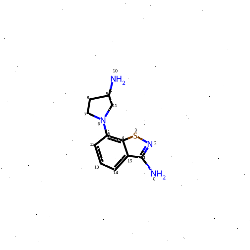 Nc1nsc2c(N3CCC(N)C3)cccc12